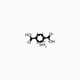 O=C(O)c1ccc(C(=O)O)cc1.[SrH2]